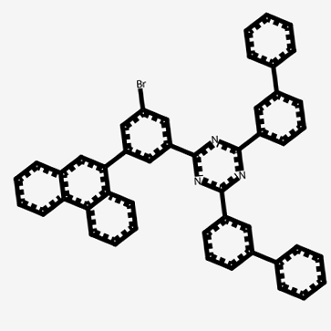 Brc1cc(-c2nc(-c3cccc(-c4ccccc4)c3)nc(-c3cccc(-c4ccccc4)c3)n2)cc(-c2cc3ccccc3c3ccccc23)c1